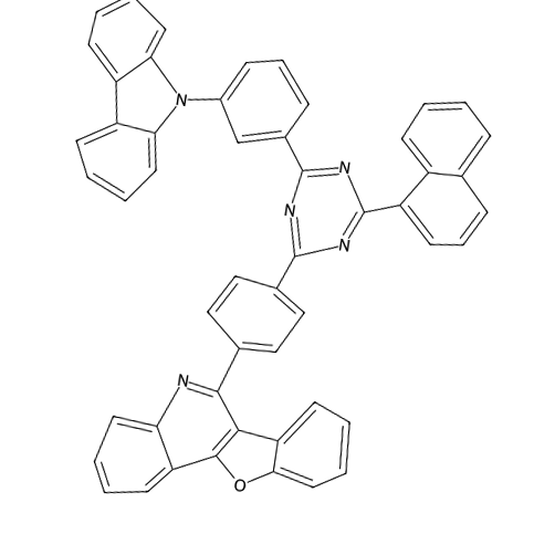 c1cc(-c2nc(-c3ccc(-c4nc5ccccc5c5oc6ccccc6c45)cc3)nc(-c3cccc4ccccc34)n2)cc(-n2c3ccccc3c3ccccc32)c1